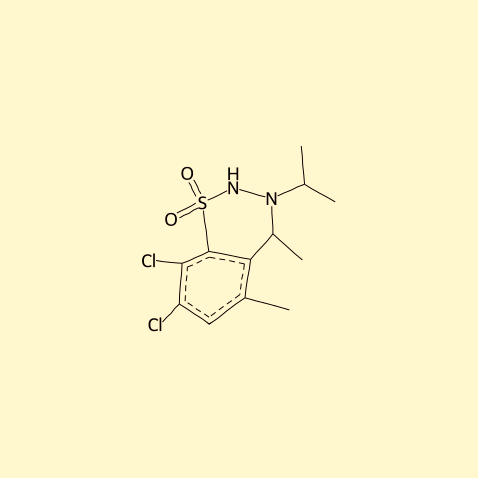 Cc1cc(Cl)c(Cl)c2c1C(C)N(C(C)C)NS2(=O)=O